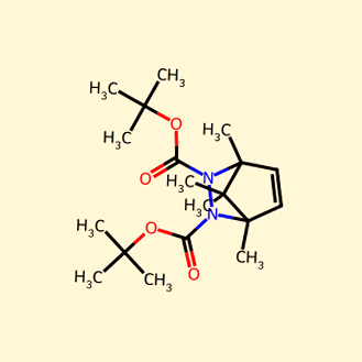 CC(C)(C)OC(=O)N1N(C(=O)OC(C)(C)C)C2(C)C=CC1(C)C2(C)C